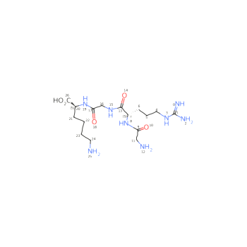 N=C(N)NCCC[C@H](NC(=O)CN)C(=O)NCC(=O)N[C@@H](CCCCN)C(=O)O